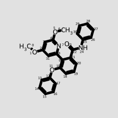 COc1cc(OC)nc(-c2c(Oc3ccccc3)cccc2C(=O)Nc2ccccc2)c1